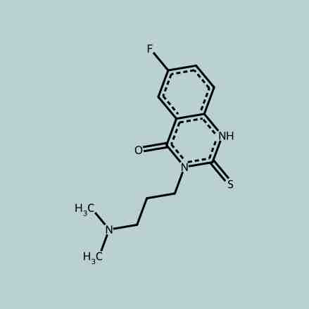 CN(C)CCCn1c(=S)[nH]c2ccc(F)cc2c1=O